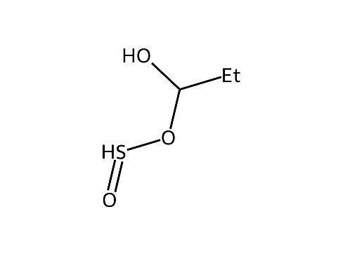 CCC(O)O[SH]=O